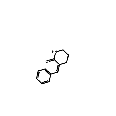 O=C1NCCCC1=Cc1ccccc1